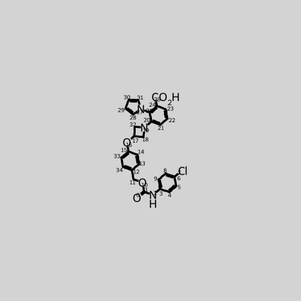 O=C(Nc1ccc(Cl)cc1)OCc1ccc(OC2CN(c3cccc(C(=O)O)c3-n3cccc3)C2)cc1